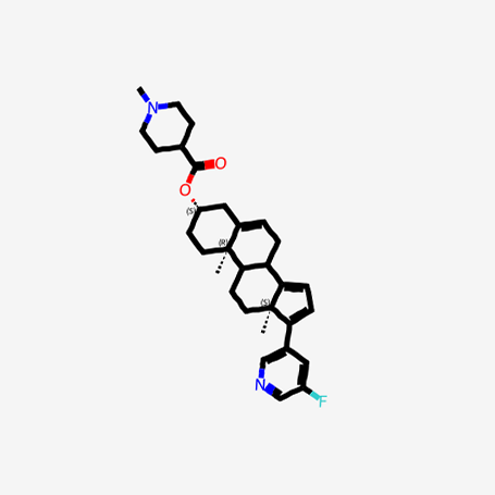 CN1CCC(C(=O)O[C@H]2CC[C@@]3(C)C(=CCC4C5=CC=C(c6cncc(F)c6)[C@@]5(C)CCC43)C2)CC1